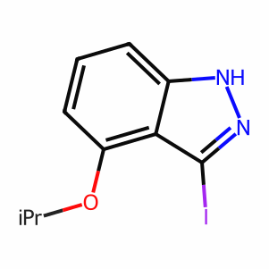 CC(C)Oc1cccc2[nH]nc(I)c12